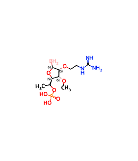 B[C@@H]1O[C@H](C(C)OP(=O)(O)O)[C@@H](OC)[C@H]1OCCNC(=N)N